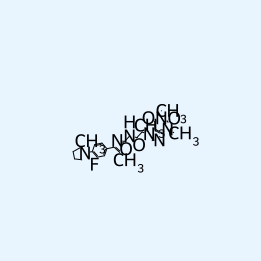 Cc1oc(NC(=O)C(C)n2cnc3c2c(=O)n(C)c(=O)n3C)nc1-c1ccc(N2CCCC2C)c(F)c1